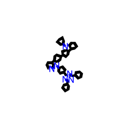 c1ccc(-c2nc(-c3ccccc3)nc(-c3ccc(-n4c5cc(-c6ccc7c8ccccc8n(-c8ccccc8)c7c6)ccc5c5cccnc54)cc3)n2)cc1